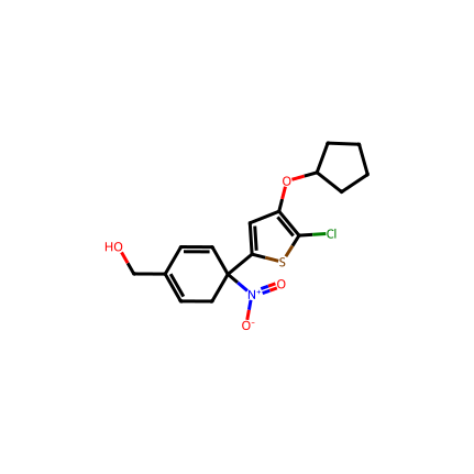 O=[N+]([O-])C1(c2cc(OC3CCCC3)c(Cl)s2)C=CC(CO)=CC1